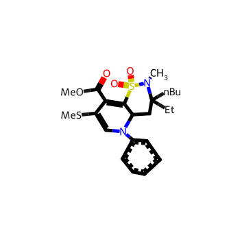 CCCCC1(CC)CC2C(=C(C(=O)OC)C(SC)=CN2c2ccccc2)S(=O)(=O)N1C